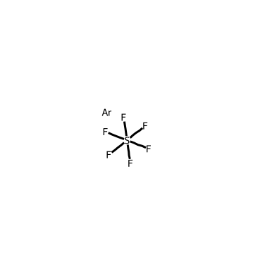 FS(F)(F)(F)(F)F.[Ar]